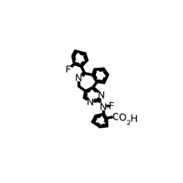 O=C(O)c1ccccc1N(F)c1ncc2c(n1)-c1ccccc1C(c1ccccc1F)=NC2